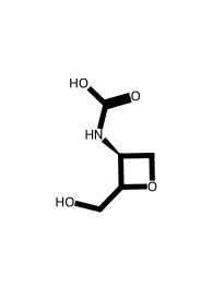 O=C(O)N[C@H]1COC1CO